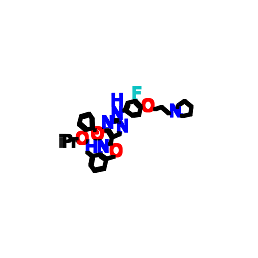 Cc1cccc(C)c1NC(=O)c1cnc(Nc2ccc(OCCCN3CCCCC3)c(F)c2)nc1Oc1ccccc1OC(C)C